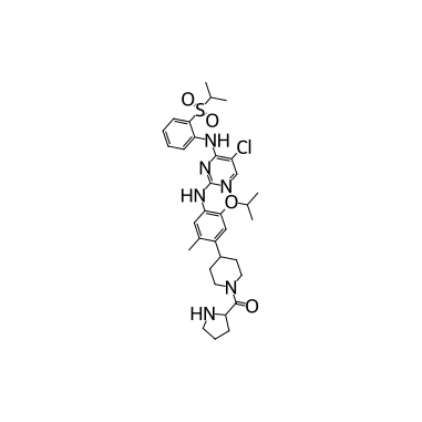 Cc1cc(Nc2ncc(Cl)c(Nc3ccccc3S(=O)(=O)C(C)C)n2)c(OC(C)C)cc1C1CCN(C(=O)C2CCCN2)CC1